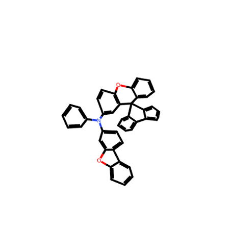 c1ccc(N(c2ccc3c(c2)C2(c4ccccc4O3)c3ccccc3-c3ccccc32)c2ccc3c(c2)oc2ccccc23)cc1